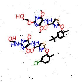 COc1nc(NCCO)nc(OC)c1NC(=O)c1csc(Oc2cc(Cl)ccc2C)n1.COc1nc(OCCO)nc(OC)c1NC(=O)c1csc(Oc2cc(C(C)(C)C)ccc2C)n1